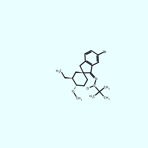 CC[C@H]1C[C@@]2(CC[C@@H]1OC)Cc1ccc(Br)cc1/C2=N/[S+]([O-])C(C)(C)C